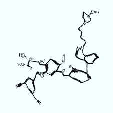 N#Cc1cc(C#N)cc(COc2cc(OCc3cccc(-c4cccc5c4cnn5CCCCN4CC[C@@H](O)C4)c3Br)c(Cl)cc2CN[C@@H](CO)C(=O)O)c1